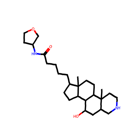 CC12CCC3C(C(O)CC4CNCCC43C)C1CCC2CCCCC(=O)NC1CCOC1